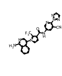 N#Cc1cc(NC(=O)c2ccn(-c3cnc(N)c4ccccc34)c2C(F)(F)F)cnc1-n1nccn1